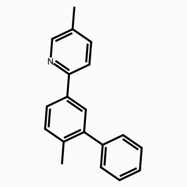 Cc1ccc(-c2ccc(C)c(-c3ccccc3)c2)nc1